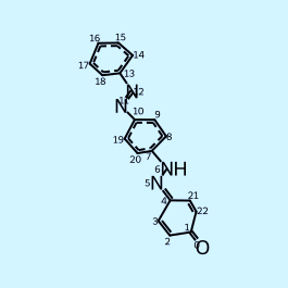 O=C1C=CC(=NNc2ccc(N=Nc3ccccc3)cc2)C=C1